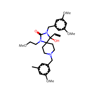 C=CC1(O)N(Cc2cc(OC)cc(OC)c2)C(=O)N(CCOC)C12CCN(Cc1cc(C)cc(OC)c1)CC2